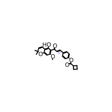 COc1cc2c(c(O)c1C(=O)/C=C/c1ccc(OC(=O)C3CCC3)cc1)C=CC(C)(C)O2